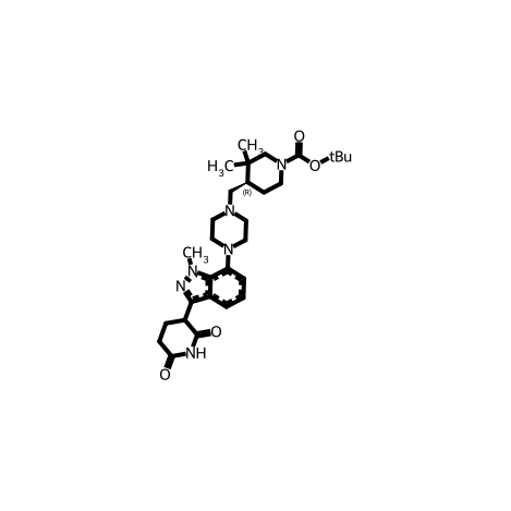 Cn1nc(C2CCC(=O)NC2=O)c2cccc(N3CCN(C[C@@H]4CCN(C(=O)OC(C)(C)C)CC4(C)C)CC3)c21